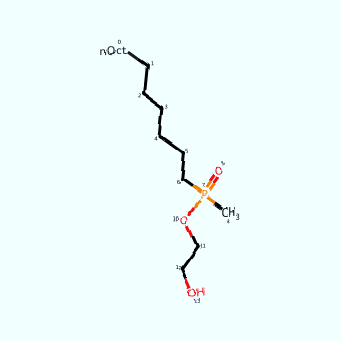 CCCCCCCCCCCCCCP(C)(=O)OCCO